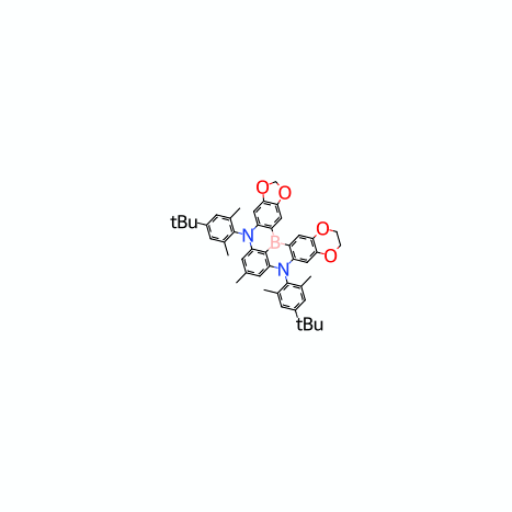 Cc1cc2c3c(c1)N(c1c(C)cc(C(C)(C)C)cc1C)c1cc4c(cc1B3c1cc3c(cc1N2c1c(C)cc(C(C)(C)C)cc1C)OCCO3)OCO4